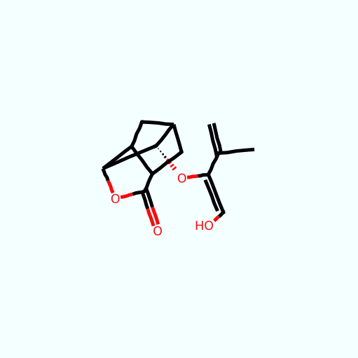 C=C(C)/C(=C/O)O[C@H]1C2CC3C(=O)OC1C3C2